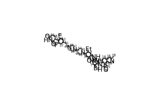 CCc1cc(Nc2ncc(Br)c(Nc3ccc4cc(C)ncc4c3P(C)(C)=O)n2)c(OC)cc1N1CCC(N2CCN(CCc3cc(F)c(C4CCC(=O)NC4=O)c(F)c3)CC2)CC1